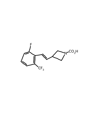 O=C(O)N1CC(C=Cc2c(F)cccc2C(F)(F)F)C1